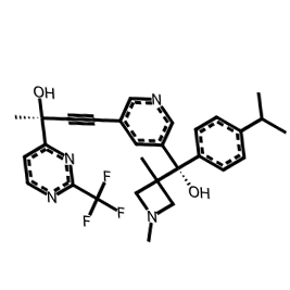 CC(C)c1ccc([C@](O)(c2cncc(C#C[C@](C)(O)c3ccnc(C(F)(F)F)n3)c2)C2(C)CN(C)C2)cc1